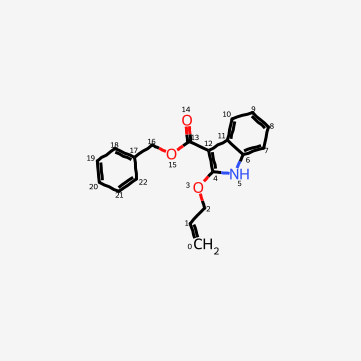 C=CCOc1[nH]c2ccccc2c1C(=O)OCc1ccccc1